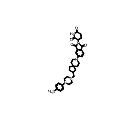 Nc1ccc(N2CCN(CC3CCC4(CCN(c5ccc6c(c5)C(=O)N(C5CCC(=O)NC5=O)C6=O)CC4)C3)CC2)cc1